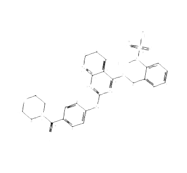 CN(c1ccccc1CNc1nc(Nc2ccc(C(=O)N3CCOCC3)cc2)nc2c1=CCCN=2)S(C)(=O)=O